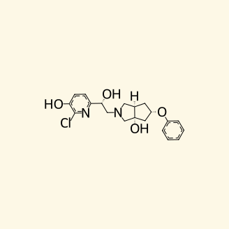 Oc1ccc([C@H](O)CN2C[C@H]3C[C@H](Oc4ccccc4)C[C@@]3(O)C2)nc1Cl